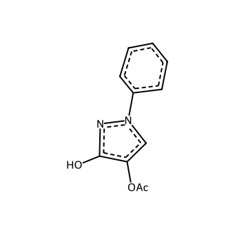 CC(=O)Oc1cn(-c2ccccc2)nc1O